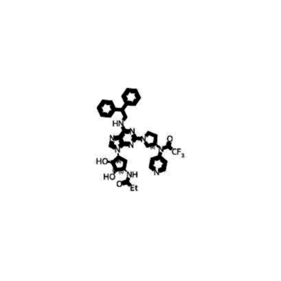 CCC(=O)N[C@H]1C[C@@H](n2cnc3c(NCC(c4ccccc4)c4ccccc4)nc(N4CC[C@@H](N(C(=O)C(F)(F)F)c5ccncc5)C4)nc32)[C@H](O)[C@@H]1O